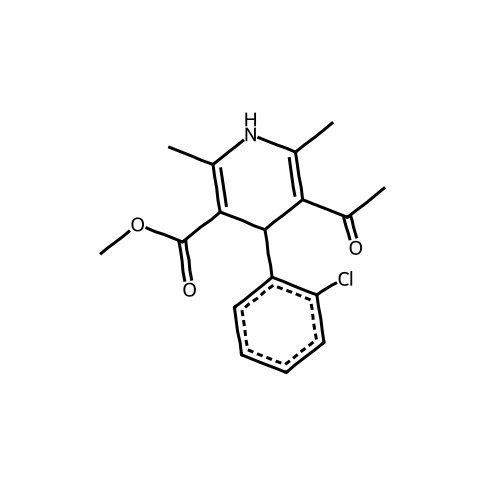 COC(=O)C1=C(C)NC(C)=C(C(C)=O)C1c1ccccc1Cl